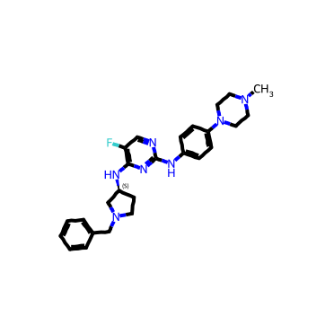 CN1CCN(c2ccc(Nc3ncc(F)c(N[C@H]4CCN(Cc5ccccc5)C4)n3)cc2)CC1